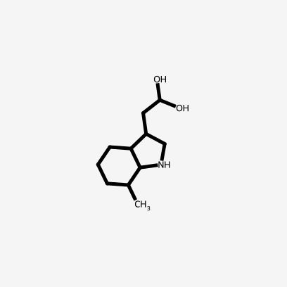 CC1CCCC2C(CC(O)O)CNC12